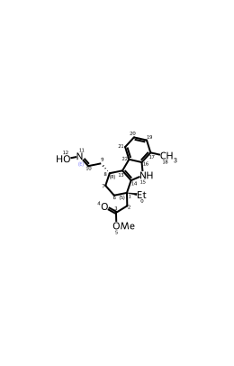 CC[C@@]1(CC(=O)OC)CC[C@H](C/C=N/O)c2c1[nH]c1c(C)cccc21